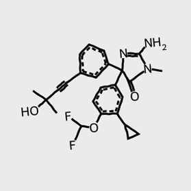 CN1C(=O)C(c2cccc(C#CC(C)(C)O)c2)(c2ccc(OC(F)F)c(C3CC3)c2)N=C1N